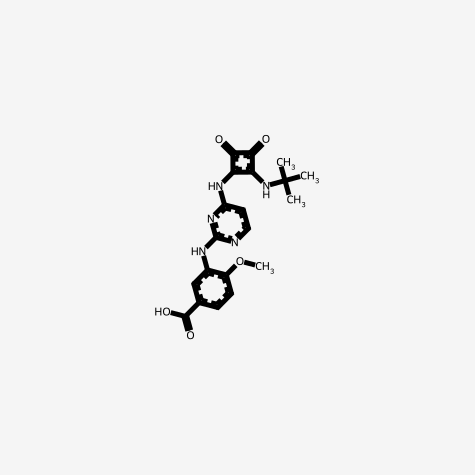 COc1ccc(C(=O)O)cc1Nc1nccc(Nc2c(NC(C)(C)C)c(=O)c2=O)n1